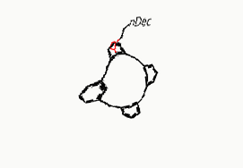 CCCCCCCCCCCCOc1c2cccc1Cc1cccc(c1)Cc1cccc(c1)Cc1cccc(c1)C2